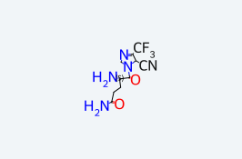 N#CC1C(C(F)(F)F)=NCN1C(=O)[C@@H](N)CCC(N)=O